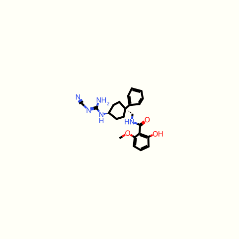 COc1cccc(O)c1C(=O)NC[C@]1(c2ccccc2)CC[C@@H](N/C(N)=N/C#N)CC1